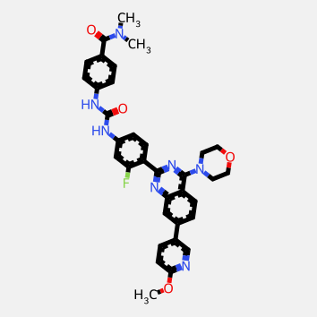 COc1ccc(-c2ccc3c(N4CCOCC4)nc(-c4ccc(NC(=O)Nc5ccc(C(=O)N(C)C)cc5)cc4F)nc3c2)cn1